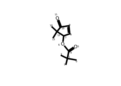 CC(C)(C)C(=O)OC1C=CC(=O)C1(C)C